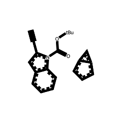 C#Cc1cc2ccccc2n1C(=O)OC(C)(C)C.c1cc2cc-2c1